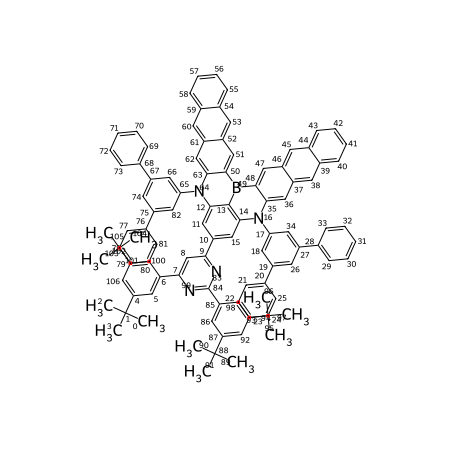 CC(C)(C)c1cc(-c2cc(-c3cc4c5c(c3)N(c3cc(-c6ccccc6)cc(-c6ccccc6)c3)c3cc6cc7ccccc7cc6cc3B5c3cc5cc6ccccc6cc5cc3N4c3cc(-c4ccccc4)cc(-c4ccccc4)c3)nc(-c3cc(C(C)(C)C)cc(C(C)(C)C)c3)n2)cc(C(C)(C)C)c1